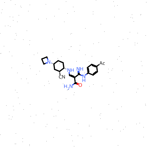 CC(=O)c1ccc(NC(=N)/C(=C\N[C@H]2CC[C@@H](N3CCC3)C[C@@H]2C#N)C(N)=O)cc1